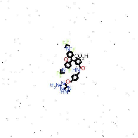 Nc1nc(OCc2ccc(CNC(=O)c3ccc(C(=O)O)c(-c4c5cc(F)c(=[N+]6CC(F)(F)C6)cc-5oc5cc(N6CC(F)(F)C6)c(F)cc45)c3)cc2)c2nc[nH]c2n1